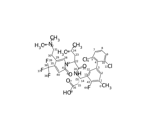 Cc1cc(-c2c(Cl)cccc2Cl)cc([C@H](CC(=O)O)NC(=O)C(CC(C)C)n2cc(CCN(C)C)c(C(F)(F)F)cc2=O)c1F